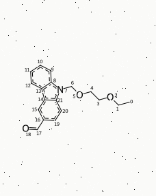 CCOCCOCn1c2ccccc2c2cc(C=O)ccc21